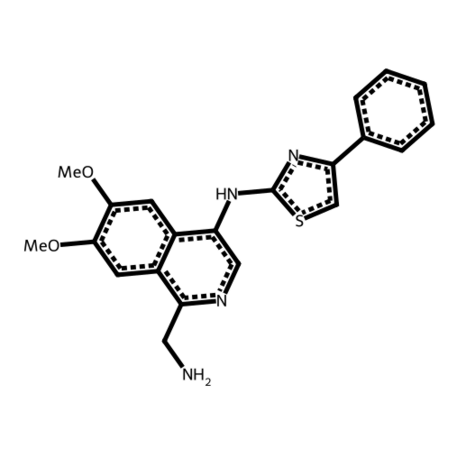 COc1cc2c(Nc3nc(-c4ccccc4)cs3)cnc(CN)c2cc1OC